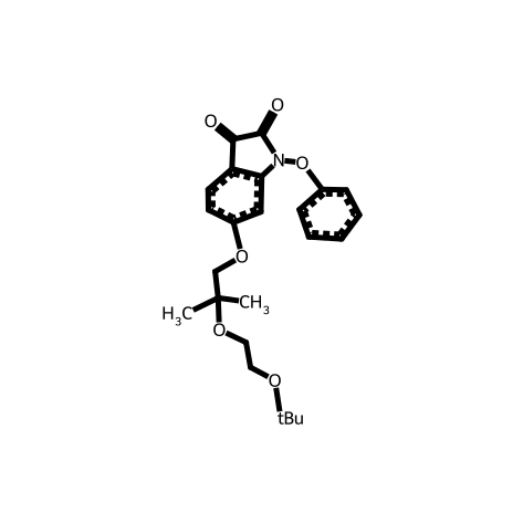 CC(C)(C)OCCOC(C)(C)COc1ccc2c(c1)N(Oc1ccccc1)C(=O)C2=O